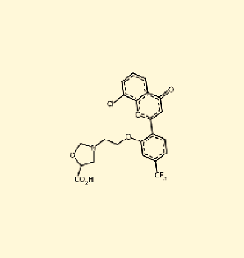 O=C(O)C1CN(CCOc2cc(C(F)(F)F)ccc2-c2cc(=O)c3cccc(Cl)c3o2)CO1